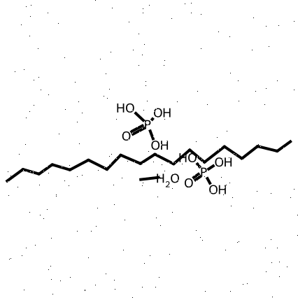 CC.CCCCCCCCCCCCCCCCCC.O.O=P(O)(O)O.O=P(O)(O)O